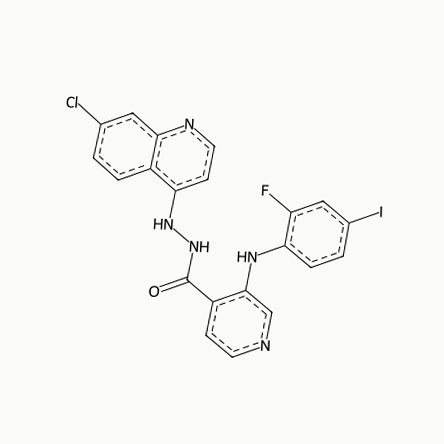 O=C(NNc1ccnc2cc(Cl)ccc12)c1ccncc1Nc1ccc(I)cc1F